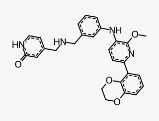 COc1nc(-c2cccc3c2OCCO3)ccc1Nc1cccc(CNCc2cc[nH]c(=O)c2)c1